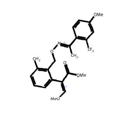 CO/C=C(/C(=O)OC)c1cccc(C)c1CO/N=C(\C)c1ccc(OC)cc1C(F)(F)F